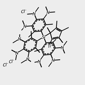 CC1=C(C)C(C)([Si](c2c(C)c(N(C)C)c(N(C)C)c(N(C)C)c2C)(c2c(C)c(N(C)C)c(N(C)C)c(N(C)C)c2C)c2c(C)c(N(C)C)c(N(C)C)c(N(C)C)c2C)[C]([Ti+3])=C1C.[Cl-].[Cl-].[Cl-]